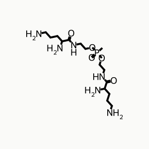 CP(=O)(OCCNC(=O)C(N)CCCN)OCCNC(=O)C(N)CCCN